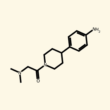 CN(C)CC(=O)N1CCC(c2ccc(N)cc2)CC1